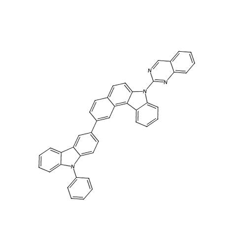 c1ccc(-n2c3ccccc3c3cc(-c4ccc5ccc6c(c5c4)c4ccccc4n6-c4ncc5ccccc5n4)ccc32)cc1